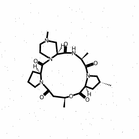 C[C@@H]1C[C@H]2C(=O)O[C@@H](C)CC(=O)N3CCC[C@H]3C(=O)N3CCN(C)C[C@H]3C(=O)N[C@@H](C)C(=O)N2C1